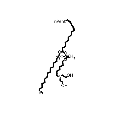 CCCCC/C=C\C/C=C\CCCCCCCC(OCCCCCCCCCCCCCCC(C)C)O[Si](C)(C)OCCCCCCN(CCO)CCO